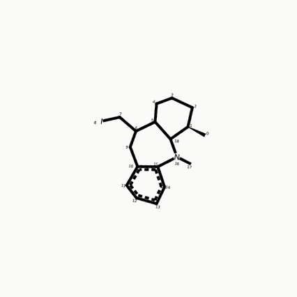 C[C@@H]1CCCC2C(CI)Cc3ccccc3N(C)C21